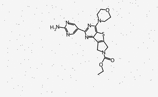 CCOC(=O)N1Cc2sc3c(N4CCOCC4)nc(-c4cnc(N)nc4)nc3c2C1